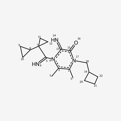 Cc1c(C)n(C(=N)C2(C3CC3)CC2)c(=N)c(=O)n1CC1CCC1